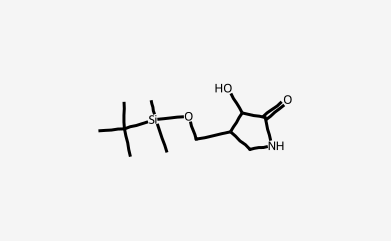 CC(C)(C)[Si](C)(C)OCC1CNC(=O)C1O